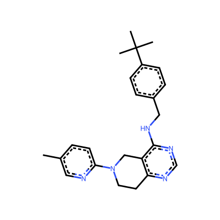 Cc1ccc(N2CCc3ncnc(NCc4ccc(C(C)(C)C)cc4)c3C2)nc1